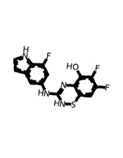 Oc1c(F)c(F)cc2c1N=C(Nc1cc(F)c3[nH]ccc3c1)NS2